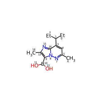 CCC(CC)c1cc(C)nn2c(B(O)O)c(C)nc12